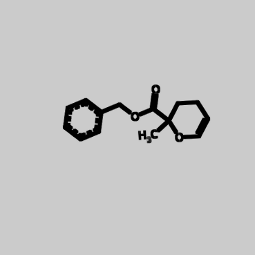 CC1(C(=O)OCc2ccccc2)CCC=CO1